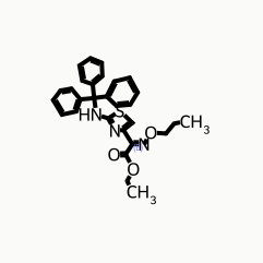 CCCO/N=C(/C(=O)OCC)c1csc(NC(c2ccccc2)(c2ccccc2)c2ccccc2)n1